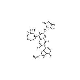 C=C1CN2CCC[C@@]2(COc2nc(N3CCOCC(C)(O)C3)c3cc(Cl)c(-c4ccc(F)c5sc(N)cc45)c(F)c3n2)C1